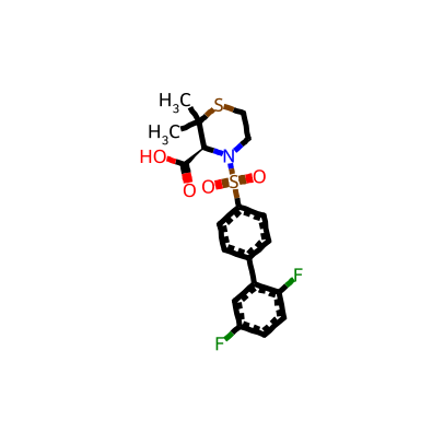 CC1(C)SCCN(S(=O)(=O)c2ccc(-c3cc(F)ccc3F)cc2)[C@H]1C(=O)O